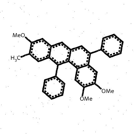 COc1cc2cc3cc(-c4ccccc4)c4cc(OC)c(OC)cc4c3c(-c3ccccc3)c2cc1C